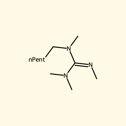 CCCCCCN(C)C(=NC)N(C)C